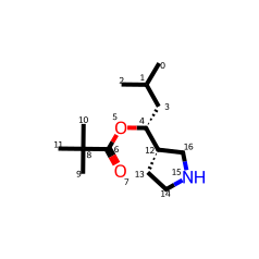 CC(C)C[C@@H](OC(=O)C(C)(C)C)[C@H]1CCNC1